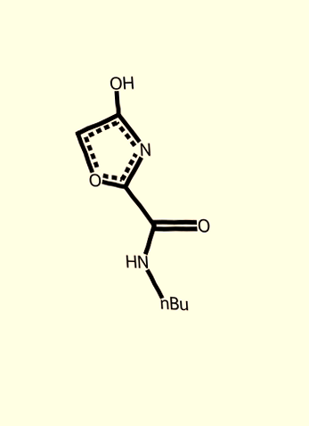 CCCCNC(=O)c1nc(O)co1